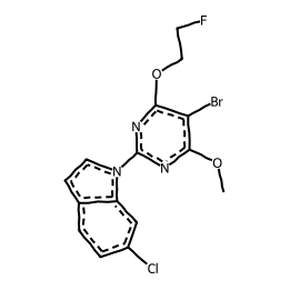 COc1nc(-n2ccc3ccc(Cl)cc32)nc(OCCF)c1Br